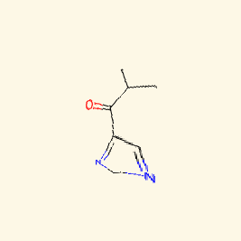 CC(C)C(=O)C1=NCN=C1